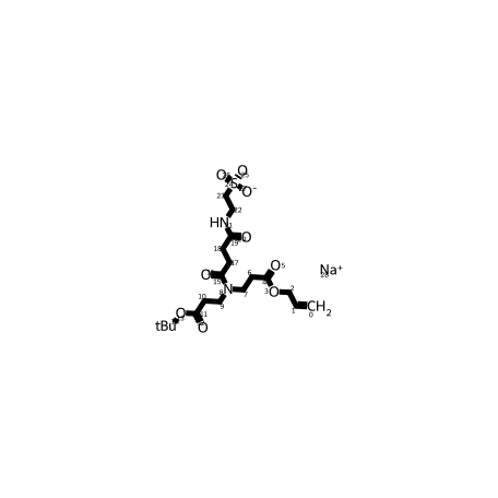 C=CCOC(=O)CCN(CCC(=O)OC(C)(C)C)C(=O)CCC(=O)NCCS(=O)(=O)[O-].[Na+]